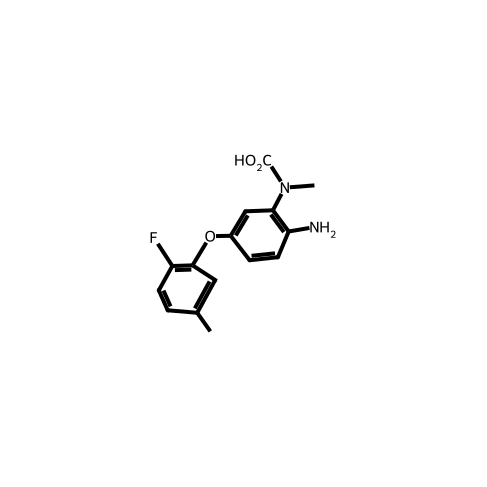 Cc1ccc(F)c(Oc2ccc(N)c(N(C)C(=O)O)c2)c1